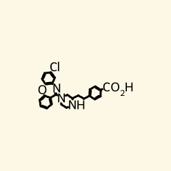 O=C(O)c1ccc(CCC2CN(C3=Nc4cc(Cl)ccc4Oc4ccccc43)CCN2)cc1